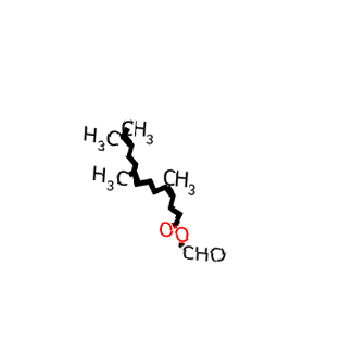 CC(C)=CCCC(C)=CCCC(C)=CCCC(=O)OCC=O